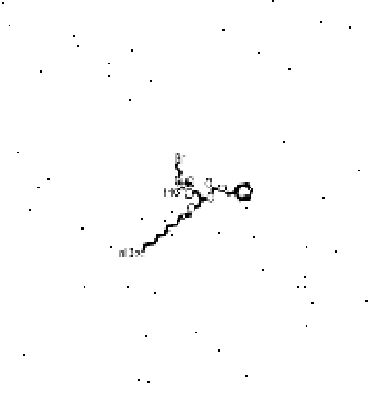 CCCCCCCCCCCCCCCCCCOCC(COP(=O)(O)OCCBr)OC(=O)OCc1ccccc1